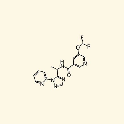 CC(NC(=O)c1cncc(OC(F)F)c1)c1ncnn1-c1ccccn1